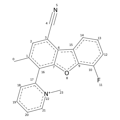 Cc1cc(C#N)c2c(oc3c(F)cccc32)c1-c1cccc[n+]1C